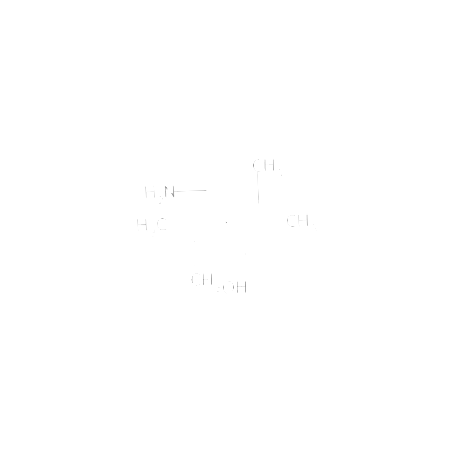 CC(C)C(CN)(CO)C(C)C